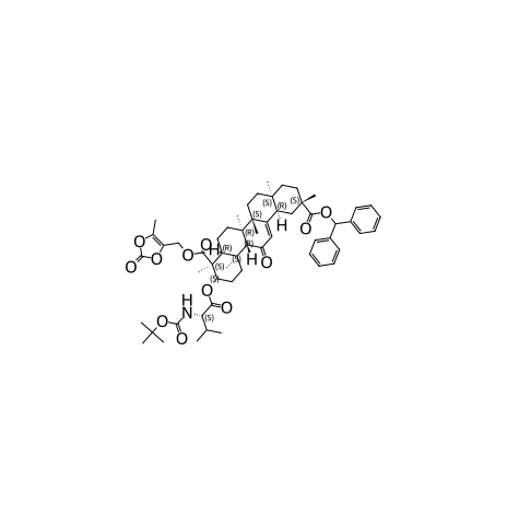 Cc1oc(=O)oc1COC(=O)[C@]1(C)[C@@H](OC(=O)[C@@H](NC(=O)OC(C)(C)C)C(C)C)CC[C@@]2(C)[C@H]1CC[C@]1(C)[C@@H]2C(=O)C=C2[C@@H]3C[C@@](C)(C(=O)OC(c4ccccc4)c4ccccc4)CC[C@]3(C)CC[C@]21C